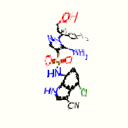 C[C@H](CO)n1ncc(S(=O)(=O)Nc2ccc(Cl)c3c(C#N)c[nH]c23)c1N